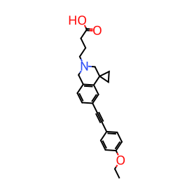 CCOc1ccc(C#Cc2ccc3c(c2)C2(CC2)CN(CCCC(=O)O)C3)cc1